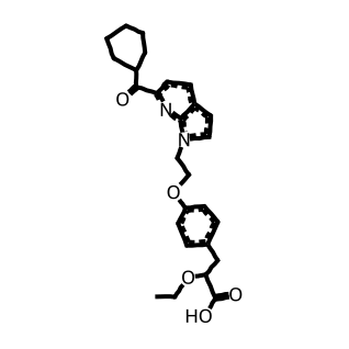 CCOC(Cc1ccc(OCCn2ccc3ccc(C(=O)C4CCCCC4)nc32)cc1)C(=O)O